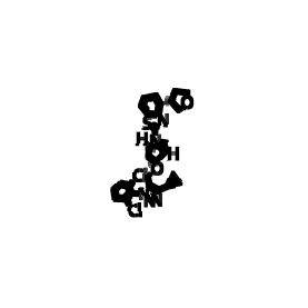 Clc1cccc(Cl)c1-n1nnc(C2CC2)c1CO[C@@H]1C[C@@H]2C[C@H]1CN2c1nc2c([C@@H]3CCOC3)cccc2s1